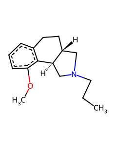 CCCN1C[C@H]2CCc3cccc(OC)c3[C@@H]2C1